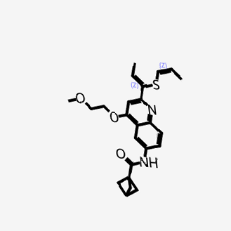 C/C=C\S/C(=C\C)c1cc(OCCOC)c2cc(NC(=O)C34CC(C3)C4)ccc2n1